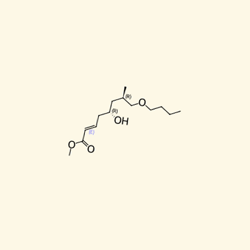 CCCCOC[C@H](C)C[C@H](O)C/C=C/C(=O)OC